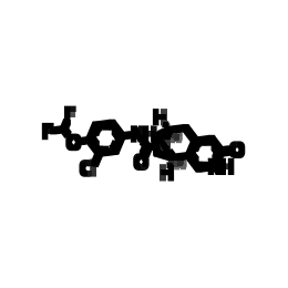 O=C(Nc1ccc(OC(F)F)c(Cl)c1)N1[C@H]2CC[C@@H]1c1c[nH]c(=O)cc1C2